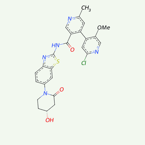 COc1cnc(Cl)cc1-c1cc(C)ncc1C(=O)Nc1nc2ccc(N3CC[C@@H](O)CC3=O)cc2s1